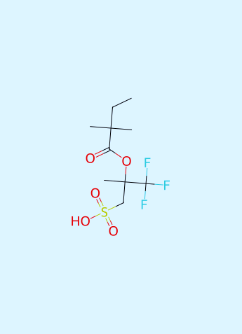 CCC(C)(C)C(=O)OC(C)(CS(=O)(=O)O)C(F)(F)F